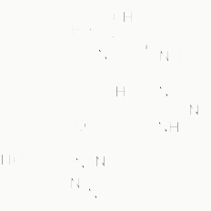 CC1(C)C[C@H](Nc2nc(Nc3ccc(OCCCO)c(-n4cnnn4)c3)ncc2F)C[C@H]2CCCN21